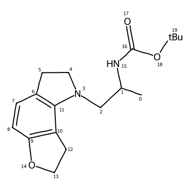 CC(CN1CCc2ccc3c(c21)CCO3)NC(=O)OC(C)(C)C